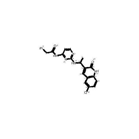 CC(C)CC(=O)Nc1ccnc(NC(C)c2cc3cc(Cl)ccc3[nH]c2=O)n1